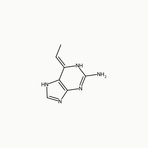 CC=C1NC(N)=Nc2nc[nH]c21